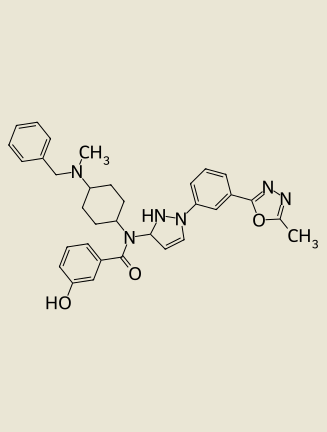 Cc1nnc(-c2cccc(N3C=CC(N(C(=O)c4cccc(O)c4)C4CCC(N(C)Cc5ccccc5)CC4)N3)c2)o1